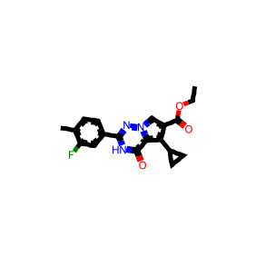 CCOC(=O)c1cn2nc(-c3ccc(C)c(F)c3)[nH]c(=O)c2c1C1CC1